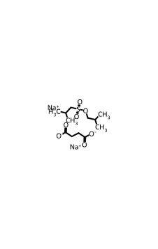 CC(C)COS(=O)(=O)CC(C)C.O=C([O-])CCC(=O)[O-].[Na+].[Na+]